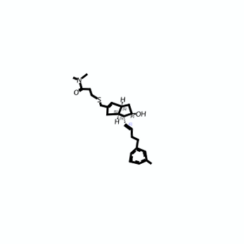 Cc1cccc(CC/C=C/[C@@H]2[C@H]3CC(CSCCC(=O)N(C)C)=C[C@H]3C[C@H]2O)c1